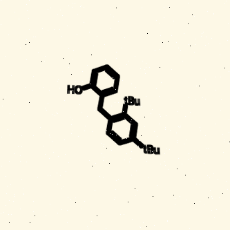 CC(C)(C)c1ccc(Cc2ccccc2O)c(C(C)(C)C)c1